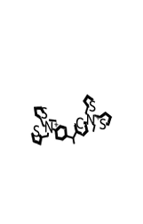 CC[N+](Cc1cccs1)(Cc1cccs1)c1ccc(C(C)c2ccc([N+](CC)(Cc3cccs3)Cc3cccs3)cc2)cc1